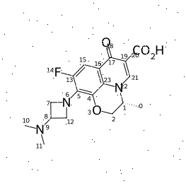 C[C@@H]1COc2c(N3CC(N(C)C)C3)c(F)cc3c(=O)c(C(=O)O)cn1c23